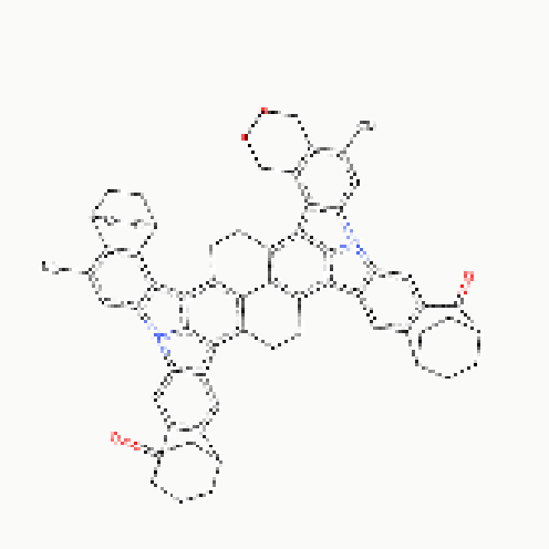 N#Cc1cc2c(c3c1C1CCC3CC1)c1c3c4c(c5c6cc7c(cc6n2c51)C(=O)C1CCC7CC1)CCc1c-4c(c2c4c5c(c(C#N)cc4n4c6cc7c(cc6c1c24)C1CCC(CC1)C7=O)C1CCC5CC1)CC3